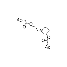 CC(=O)CC(=O)OCCCN1CCCC(OC(=O)CC(C)=O)C1